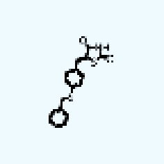 O=C1NC(=O)C(=Cc2ccc(SCc3ccccc3)cc2)S1